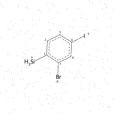 [SiH3]c1ccc(I)cc1Br